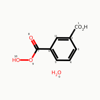 O.O=C(O)c1cccc(C(=O)OO)c1